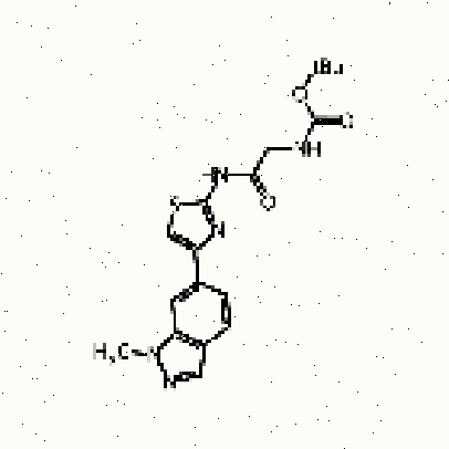 Cn1ncc2ccc(-c3csc(NC(=O)CNC(=O)OC(C)(C)C)n3)cc21